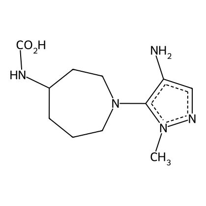 Cn1ncc(N)c1N1CCCC(NC(=O)O)CC1